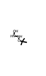 CC(C)(C)ONNO